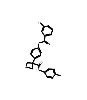 O=C(Nc1ccc(C2(C(=O)Nc3ccc(F)cc3)COC2)cc1)c1cccc(Cl)c1